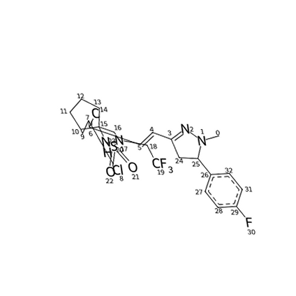 CN1N=C(/C=C/C2=C(Cl)CC3CCC(C2)C32CN(CC(F)(F)F)S(=O)(=O)N2)CC1c1ccc(F)cc1